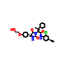 C#Cc1ccc(NC(=O)[C@H]([C@@H](C)c2ccccc2)N2C(=O)N[C@H](c3ccc(OCCO)cc3)C2=O)c(Cl)c1